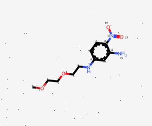 COCCOCCNc1ccc([N+](=O)[O-])c(N)c1